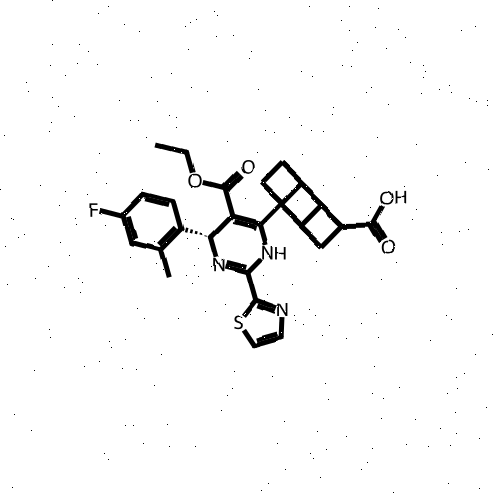 CCOC(=O)C1=C(C23C4C5C2C2C3C4C52C(=O)O)NC(c2nccs2)=N[C@@H]1c1ccc(F)cc1C